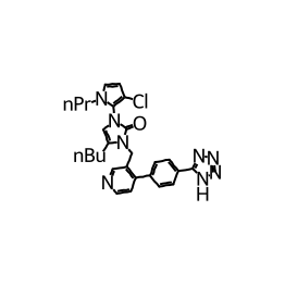 CCCCc1cn(-c2c(Cl)ccn2CCC)c(=O)n1Cc1cnccc1-c1ccc(-c2nnn[nH]2)cc1